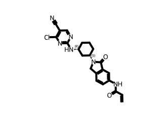 C=CC(=O)Nc1ccc2c(c1)C(=O)N([C@H]1CCC[C@@H](Nc3ncc(C#N)c(Cl)n3)C1)C2